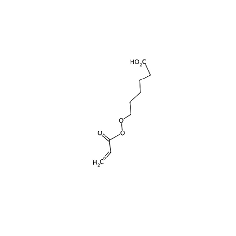 C=CC(=O)OOCCCCCC(=O)O